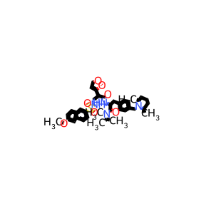 COc1ccc2cc(S(=O)(=O)NCC(C(=O)NC(Cc3ccc(CN4C(C)CCCC4C)cc3)C(=O)N(C)C(C)C)C3=CCOO3)ccc2c1